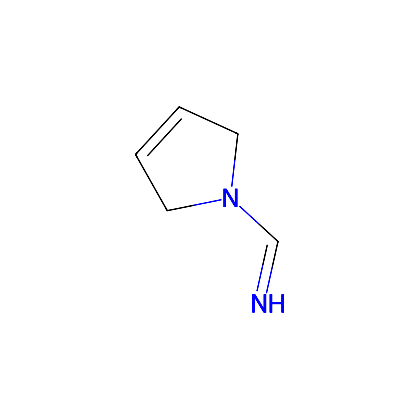 N=CN1CC=CC1